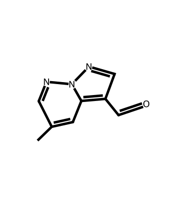 Cc1cnn2ncc(C=O)c2c1